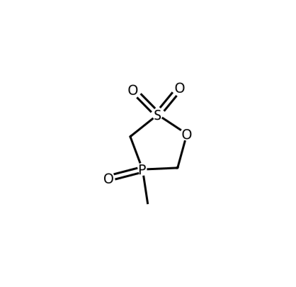 CP1(=O)COS(=O)(=O)C1